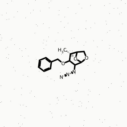 C[C@@H]1C2COC(O2)C(N=[N+]=[N-])C1OCc1ccccc1